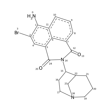 Nc1c(Br)cc2c3c(cccc13)C(=O)N(C1CCN3CCCC1C3)C2=O